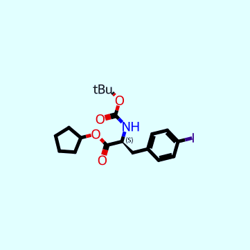 CC(C)(C)OC(=O)N[C@@H](Cc1ccc(I)cc1)C(=O)OC1CCCC1